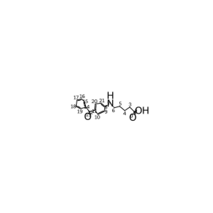 O=C(O)CCCCNc1ccc(C(=O)c2ccccc2)cc1